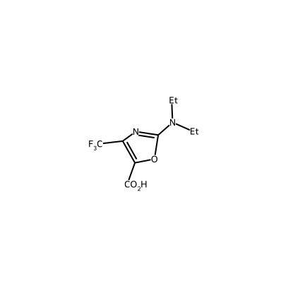 CCN(CC)c1nc(C(F)(F)F)c(C(=O)O)o1